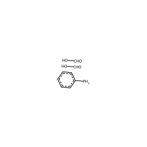 O=CO.O=CO.Pc1ccccc1